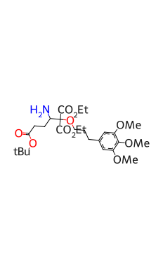 CCOC(=O)C(OCCCc1cc(OC)c(OC)c(OC)c1)(C(=O)OCC)C(N)CCC(=O)OC(C)(C)C